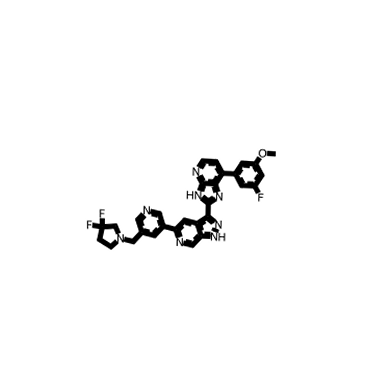 COc1cc(F)cc(-c2ccnc3[nH]c(-c4n[nH]c5cnc(-c6cncc(CN7CCC(F)(F)C7)c6)cc45)nc23)c1